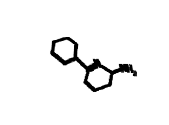 NC1CCCC(C2=CCCCC2)=N1